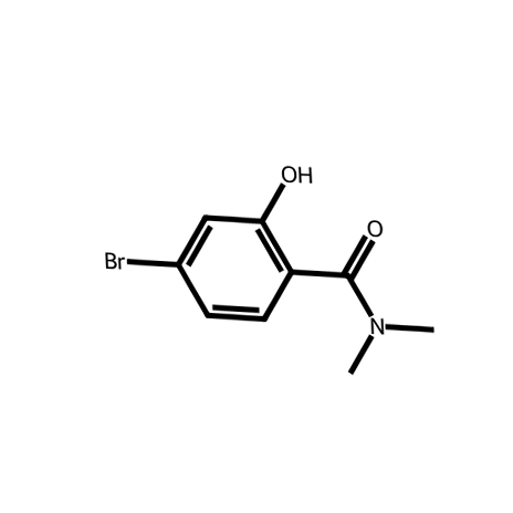 CN(C)C(=O)c1ccc(Br)cc1O